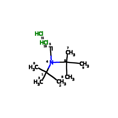 CC(C)(C)[N]([Ti])C(C)(C)C.Cl.Cl